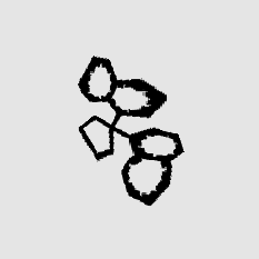 c1ccc2c(C3(c4cccc5ccccc45)CCCC3)cccc2c1